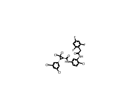 O=C(Cc1c(F)cc(F)cc1F)Nc1cc(NC(=O)[C@H]2[C@H](c3cc(Cl)cc(Cl)c3)C2(Cl)Cl)ccc1Cl